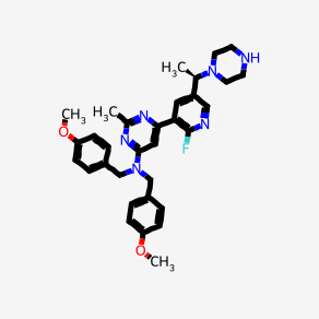 COc1ccc(CN(Cc2ccc(OC)cc2)c2cc(-c3cc([C@@H](C)N4CCNCC4)cnc3F)nc(C)n2)cc1